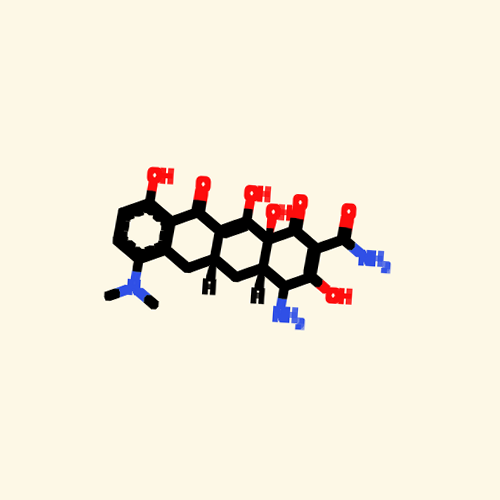 CN(C)c1ccc(O)c2c1C[C@H]1C[C@H]3C(N)C(O)=C(C(N)=O)C(=O)[C@@]3(O)C(O)=C1C2=O